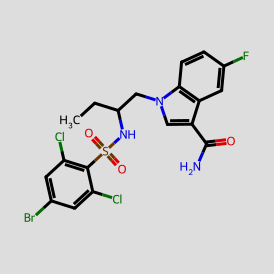 CCC(Cn1cc(C(N)=O)c2cc(F)ccc21)NS(=O)(=O)c1c(Cl)cc(Br)cc1Cl